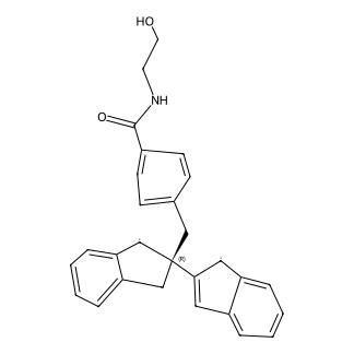 O=C(NCCO)c1ccc(C[C@]2(C3=Cc4ccccc4[CH]3)[CH]c3ccccc3C2)cc1